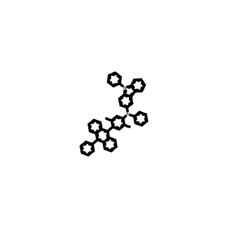 Cc1cc(N(c2ccccc2)c2ccc3c(c2)c2ccccc2n3-c2ccccc2)c(C)cc1-c1c2ccccc2c(-c2ccccc2)c2ccccc12